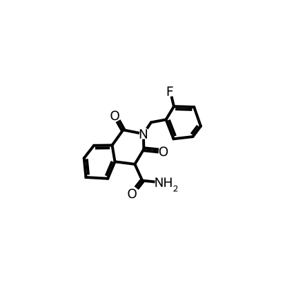 NC(=O)C1C(=O)N(Cc2ccccc2F)C(=O)c2ccccc21